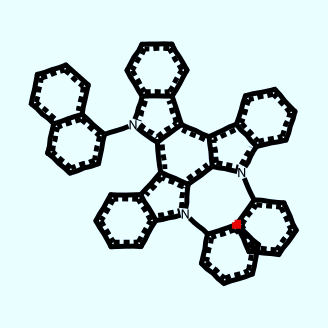 c1ccc(-n2c3ccccc3c3c4c5ccccc5n(-c5cccc6ccccc56)c4c4c5ccccc5n(-c5ccccc5)c4c32)cc1